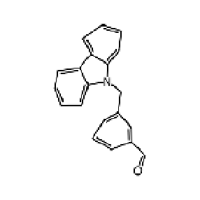 O=Cc1cccc(Cn2c3ccccc3c3ccccc32)c1